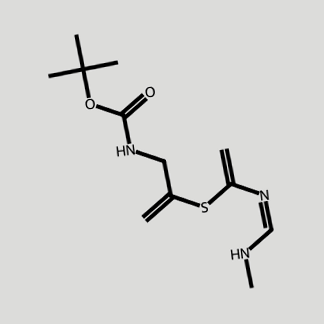 C=C(CNC(=O)OC(C)(C)C)SC(=C)/N=C\NC